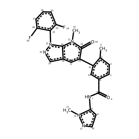 Cc1ccc(C(=O)Nc2ccnn2C)cc1-c1cc2cnn(-c3c(F)cccc3F)c2n(C)c1=O